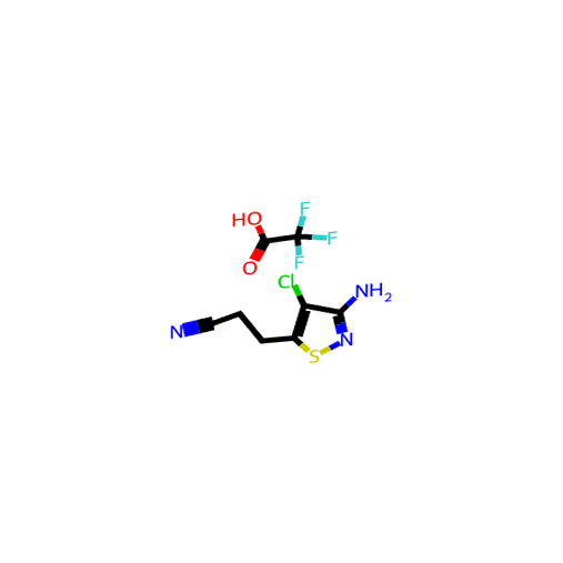 N#CCCc1snc(N)c1Cl.O=C(O)C(F)(F)F